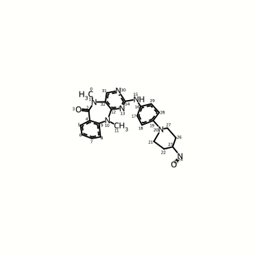 CN1C(=O)c2ccccc2N(C)c2nc(Nc3ccc(N4CCC(N=O)CC4)cc3)ncc21